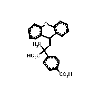 NC(CC1c2ccccc2Oc2ccccc21)(C(=O)O)c1ccc(C(=O)O)cc1